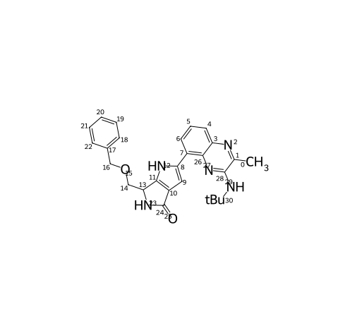 Cc1nc2cccc(-c3cc4c([nH]3)C(COCc3ccccc3)NC4=O)c2nc1NC(C)(C)C